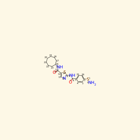 NSc1ccc(C(=O)Nc2ncc(C(=O)NC3CCCCCCC3)s2)cc1